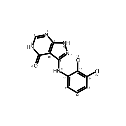 O=c1[nH]cnc2[nH]nc(Nc3cccc(Cl)c3Cl)c12